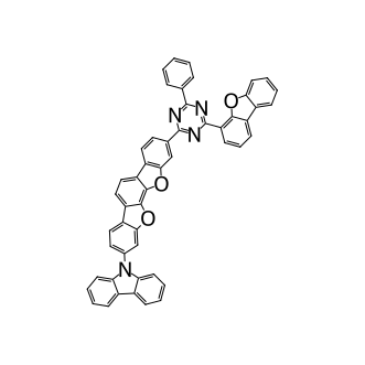 c1ccc(-c2nc(-c3ccc4c(c3)oc3c4ccc4c5ccc(-n6c7ccccc7c7ccccc76)cc5oc43)nc(-c3cccc4c3oc3ccccc34)n2)cc1